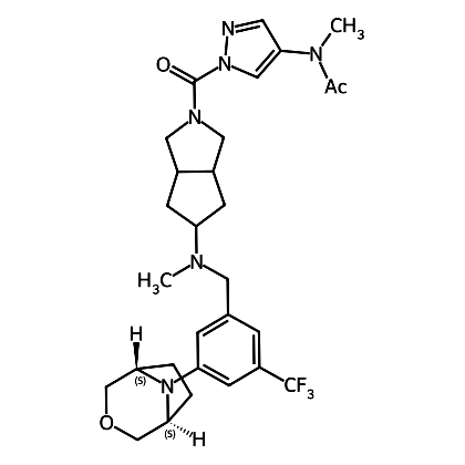 CC(=O)N(C)c1cnn(C(=O)N2CC3CC(N(C)Cc4cc(N5[C@H]6CC[C@H]5COC6)cc(C(F)(F)F)c4)CC3C2)c1